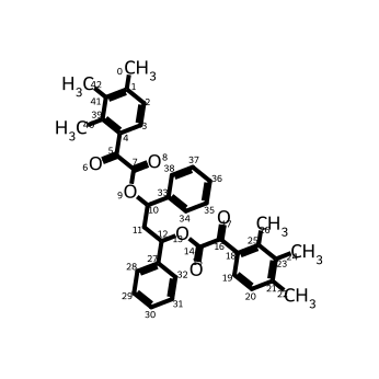 Cc1ccc(C(=O)C(=O)OC(CC(OC(=O)C(=O)c2ccc(C)c(C)c2C)c2ccccc2)c2ccccc2)c(C)c1C